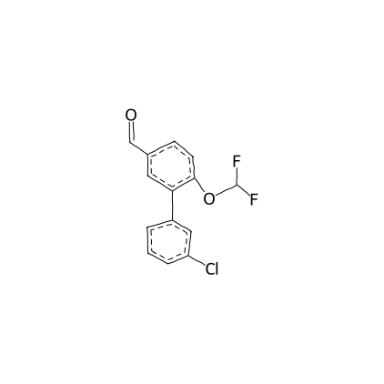 O=Cc1ccc(OC(F)F)c(-c2cccc(Cl)c2)c1